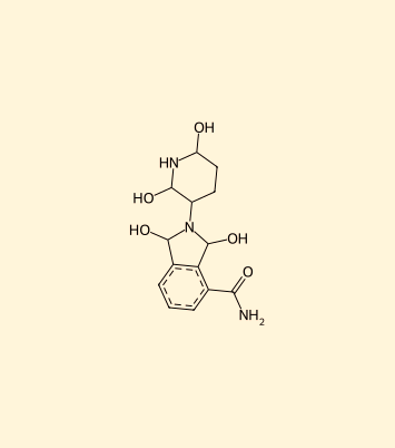 NC(=O)c1cccc2c1C(O)N(C1CCC(O)NC1O)C2O